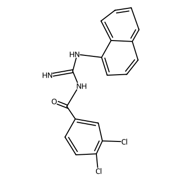 N=C(NC(=O)c1ccc(Cl)c(Cl)c1)Nc1cccc2ccccc12